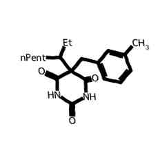 CCCCCC(CC)C1(Cc2cccc(C)c2)C(=O)NC(=O)NC1=O